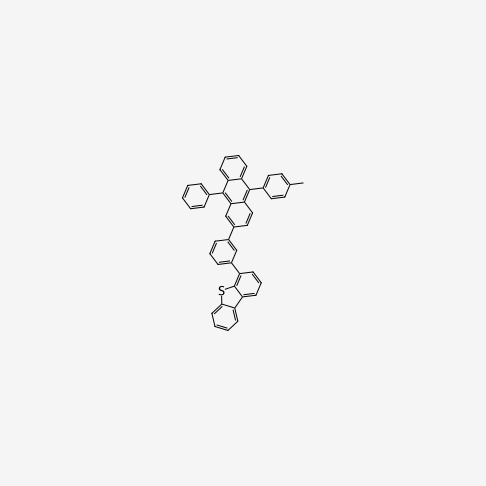 Cc1ccc(-c2c3ccccc3c(-c3ccccc3)c3cc(-c4cccc(-c5cccc6c5sc5ccccc56)c4)ccc23)cc1